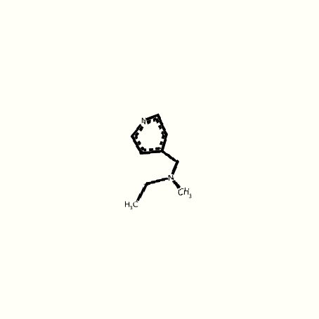 C[CH]N(C)Cc1ccncc1